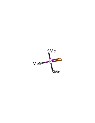 CSP(=S)(SC)SC